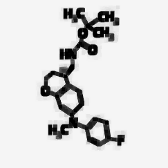 CN(c1ccc(F)cc1)c1ccc2c(c1)OCC[C@H]2CNC(=O)OC(C)(C)C